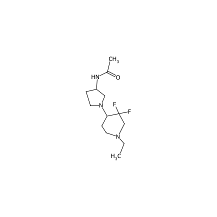 CCN1CCC(N2CCC(NC(C)=O)C2)C(F)(F)C1